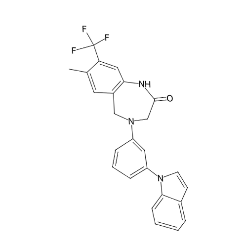 Cc1cc2c(cc1C(F)(F)F)NC(=O)CN(c1cccc(-n3ccc4ccccc43)c1)C2